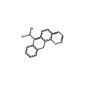 CCN(CC)C1=c2ccc3c(c2Cc2ccccc21)ON=CC=3